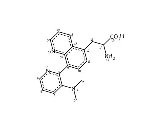 CN(C)c1cccnc1-c1ccc(CC(N)C(=O)O)c2cccnc12